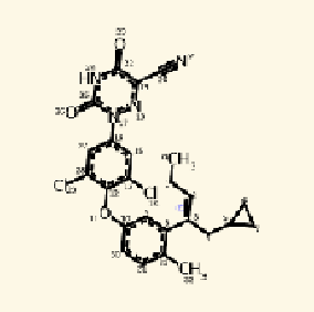 CC/C=C(/CC1CC1)c1cc(Oc2c(Cl)cc(-n3nc(C#N)c(=O)[nH]c3=O)cc2Cl)ccc1C